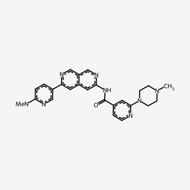 CNc1ccc(-c2cc3cc(NC(=O)c4ccnc(N5CCN(C)CC5)c4)ncc3cn2)cn1